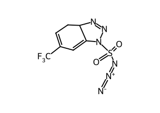 [N-]=[N+]=NS(=O)(=O)N1N=NC2CC=C(C(F)(F)F)C=C21